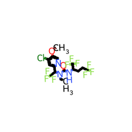 CCN(C(=O)NC(CCC(F)(F)F)C(F)(F)F)C(c1cc(Cl)c(OC)cn1)C(F)(F)F